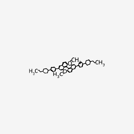 CCCC1CCC(c2ccc(-c3ccc4c(-c5c(OCC)ccc6cc(-c7ccc(C8CCC(CCC)CC8)cc7)ccc56)c(OCC)ccc4c3)cc2)CC1